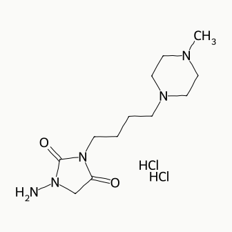 CN1CCN(CCCCN2C(=O)CN(N)C2=O)CC1.Cl.Cl